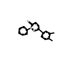 Cc1ccc(-c2ccc(=O)n(-c3ccccc3)n2)cc1C